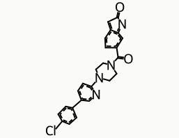 O=C1C=c2ccc(C(=O)N3CCN(c4ccc(-c5ccc(Cl)cc5)cn4)CC3)cc2=N1